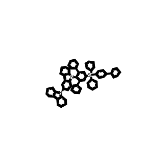 c1ccc(-c2ccc([Si](c3ccccc3)(c3ccccc3)c3cc(-c4ccccc4)c(-n4c5ccccc5c5cc(-n6c7ccccc7c7ccccc76)ccc54)c(-c4ccccc4)c3)cc2)cc1